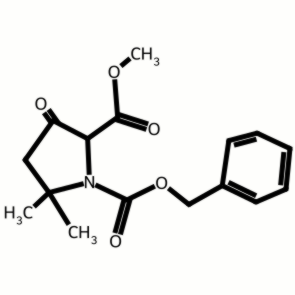 COC(=O)C1C(=O)CC(C)(C)N1C(=O)OCc1ccccc1